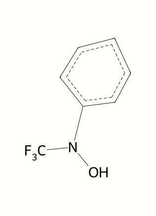 ON(c1ccccc1)C(F)(F)F